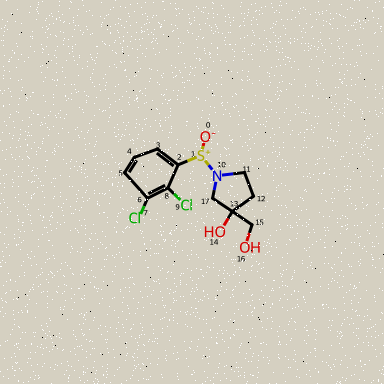 [O-][S+](c1cccc(Cl)c1Cl)N1CCC(O)(CO)C1